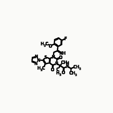 COc1ccc(F)cc1C(=N)Cn1c(=O)n(C(C)(C)C(=O)NC(C)C)c(=O)c2c(C)c(-n3nccn3)sc21